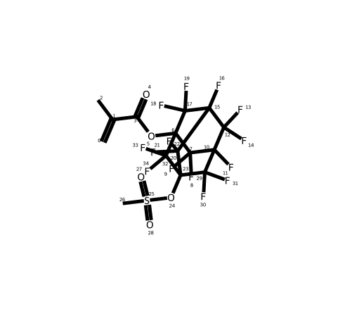 C=C(C)C(=O)OC12C(F)(F)C3(F)C(F)(F)C(F)(C1(F)F)C(F)(F)C(OS(C)(=O)=O)(C3(F)F)C2(F)F